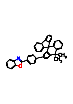 CC1(C)c2ccccc2C2(c3ccccc3-c3ccccc32)c2cc(-c3ccc(-c4nc5ccccc5o4)cc3)ccc21